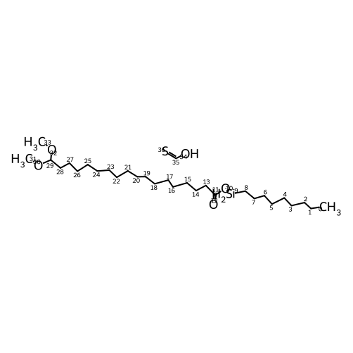 CCCCCCCCC[SiH2]OC(=O)CCCCCCCCCCCCCCCCC(OC)OC.OC=S